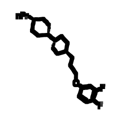 CCC[C@H]1CC[C@H]([C@H]2CC[C@H](CCCOc3ccc(F)c(F)c3)CC2)CC1